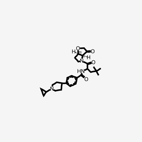 CC(C)(C)CC(NC(=O)c1ccc(C2CCN(C3CC3)CC2)cc1)C(=O)N1CC[C@H]2OCC(=O)[C@H]21